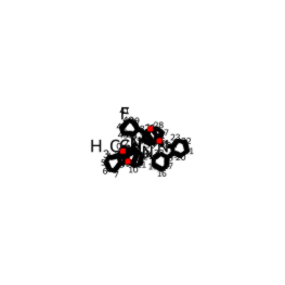 CC1(C)c2ccccc2-c2ccc(N(c3cccc4c5ccccc5n(-c5ccccc5)c34)c3cccc4c5cc(F)ccc5n(-c5ccccc5)c34)cc21